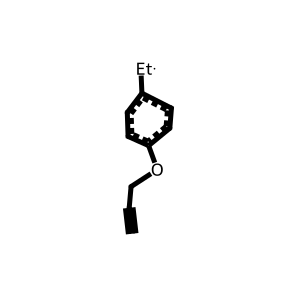 C#CCOc1ccc([CH]C)cc1